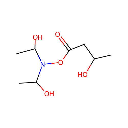 CC(O)CC(=O)ON(C(C)O)C(C)O